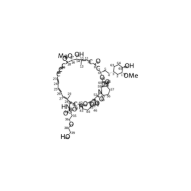 CO[C@@H]1C[C@H](CC[C@@H]2CC(=O)C/C=C(\C)[C@@H](O)[C@@H](OC)C(=O)CCC/C=C/C=C/C=C(\C)[C@H](NS(=O)(=O)CCOCCO)C[C@@H]3CC[C@@H](C)[C@@](O)(O3)C(=O)C(=O)N3CCCC[C@H]3C(=O)O2)CC[C@H]1O